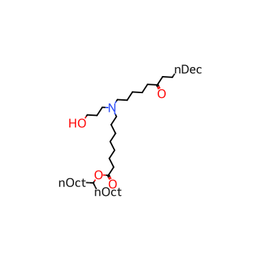 CCCCCCCCCCCCC(=O)CCCCCN(CCCO)CCCCCCCC(=O)OC(CCCCCCCC)CCCCCCCC